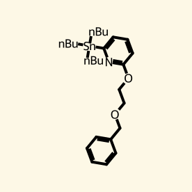 CCC[CH2][Sn]([CH2]CCC)([CH2]CCC)[c]1cccc(OCCOCc2ccccc2)n1